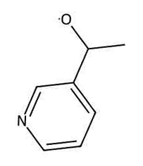 CC([O])c1cccnc1